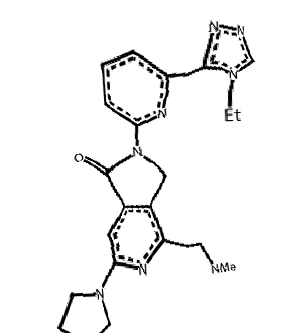 CCn1cnnc1-c1cccc(N2Cc3c(cc(N4CCCC4)nc3CNC)C2=O)n1